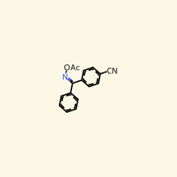 CC(=O)ON=C(c1ccccc1)c1ccc(C#N)cc1